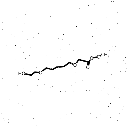 CCOC(=O)COCCCCCOCCO